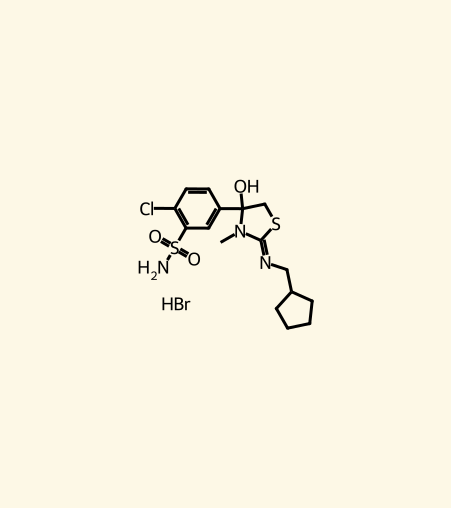 Br.CN1C(=NCC2CCCC2)SCC1(O)c1ccc(Cl)c(S(N)(=O)=O)c1